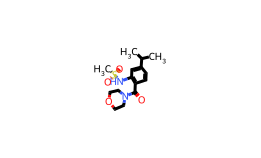 CC(C)c1ccc(C(=O)N2CCOCC2)c(NS(C)(=O)=O)c1